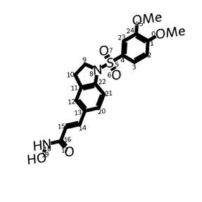 COc1ccc(S(=O)(=O)N2CCc3cc(C=CC(=O)NO)ccc32)cc1OC